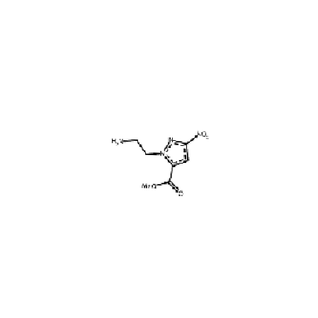 COC(=O)c1cc([N+](=O)[O-])nn1CCN